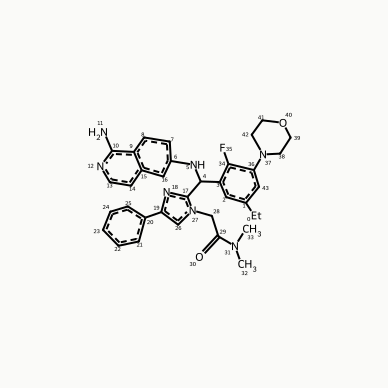 CCc1cc(C(Nc2ccc3c(N)nccc3c2)c2nc(-c3ccccc3)cn2CC(=O)N(C)C)c(F)c(N2CCOCC2)c1